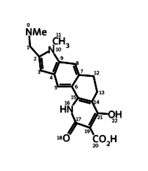 CNCc1cc2cc3c(cc2n1C)CCc1c-3[nH]c(=O)c(C(=O)O)c1O